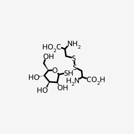 NC(CSSCC(N)C(=O)O)C(=O)O.OC[C@H]1OC(S)[C@H](O)[C@@H](O)[C@@H]1O